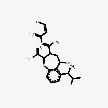 C=C(/C=C\CC)/N=C(\C)C1CC(C)c2c(cccc2C(C)C(F)F)SC1C(=C)C